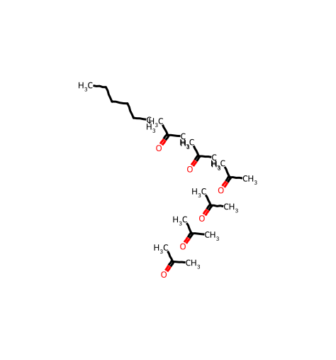 CC(C)=O.CC(C)=O.CC(C)=O.CC(C)=O.CC(C)=O.CC(C)=O.CCCCCC